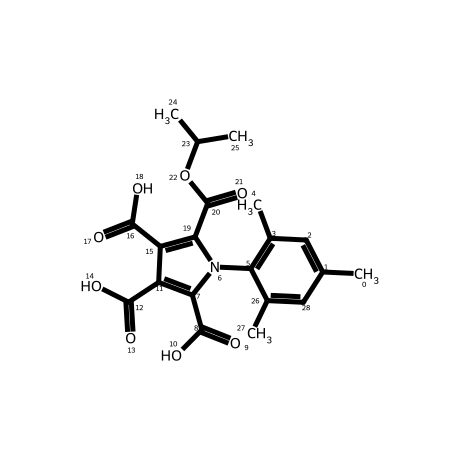 Cc1cc(C)c(-n2c(C(=O)O)c(C(=O)O)c(C(=O)O)c2C(=O)OC(C)C)c(C)c1